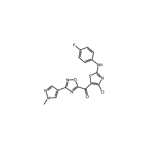 Cn1cc(-c2noc(C(=O)c3sc(Nc4ccc(F)cc4)nc3Cl)n2)cn1